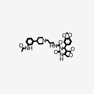 CC(=O)Nc1cccc(C2CCN(CCCNC(=O)N3C(=O)NC4=C(C(=O)OC4)C3c3ccc4c(c3)OCO4)CC2)c1